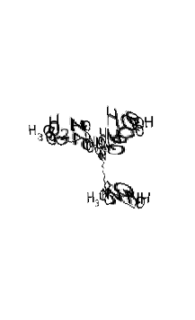 Cn1c(=O)n(C2CCC(=O)NC2=O)c2ccc(CCCCCCc3cc4c5n3CC[C@H](NC(=O)c3cc6cc(C(=O)P(=O)(O)O)ccc6[nH]3)C(=O)C5=C[C@@H](C(=O)NC(CCC(N)=O)C(=O)NCc3ccc(S(C)(=O)=O)cc3)C4)cc21